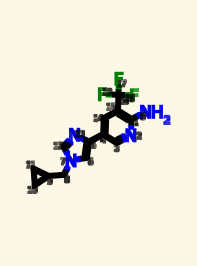 Nc1ncc(-c2cn(CC3CC3)cn2)cc1C(F)(F)F